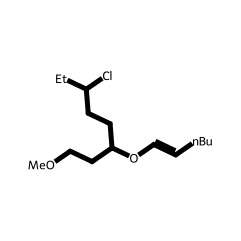 CCCCC=COC(CCOC)CCC(Cl)CC